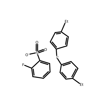 CCc1ccc([I+]c2ccc(CC)cc2)cc1.O=S(=O)([O-])c1ccccc1F